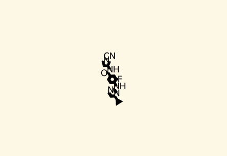 N#CN1CCC(NC(=O)c2ccc(Nc3nccc(C4CC4)n3)c(F)c2)C1